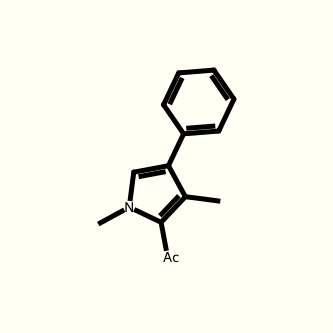 CC(=O)c1c(C)c(-c2ccccc2)cn1C